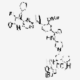 CC[C@@H]1C(=O)N(C)c2cnc(Nc3ccc(C(=O)NC4CCN(CC[C@@](NC(=O)OC(C)(C)C)(C(=O)O)C5CCCC5)C4)cc3OC)nc2N1C1CCCC1